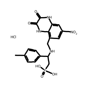 Cc1ccc(C(CP(=O)(O)O)NCc2cc([N+](=O)[O-])cc3[nH]c(=O)c(=O)[nH]c23)cc1.Cl